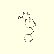 NC(=O)C1=CC=C(Cc2ccccc2)N=CN1